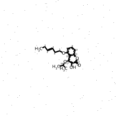 CC/C=C/CCOc1cccc2oc(=O)c(O)c(OC(C)C)c12